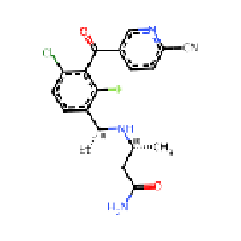 CC[C@@H](N[C@H](C)CC(N)=O)c1ccc(Cl)c(C(=O)c2ccc(C#N)nc2)c1F